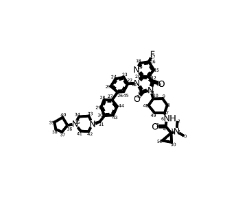 CN(C)C1(C(=O)NC2CCC(n3c(=O)c4cc(F)cnc4n(-c4cccc(-c5ccc(CN6CCN(C7CCCC7)CC6)cc5)c4)c3=O)CC2)CC1